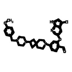 COc1ccc(CN2CCN(C3CC4(CCN(c5ccc(C=O)c(Oc6cnc7[nH]cc(Cl)c7c6)c5)CC4)C3)CC2)cc1